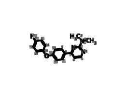 CN(C)c1nccc(-c2ccc(Oc3ccc(F)cc3)cc2)n1